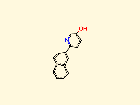 Oc1ccc(-c2ccc3ccccc3c2)nc1